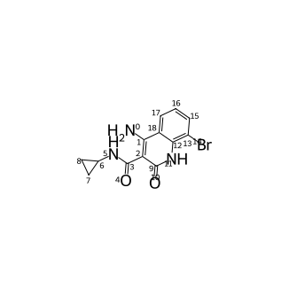 Nc1c(C(=O)NC2CC2)c(=O)[nH]c2c(Br)cccc12